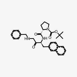 CC(C)(C)OC(=O)N1CCC[C@H]1C(=O)N[C@@H](Cc1ccc2ccccc2c1)C(=O)CNCc1ccccc1